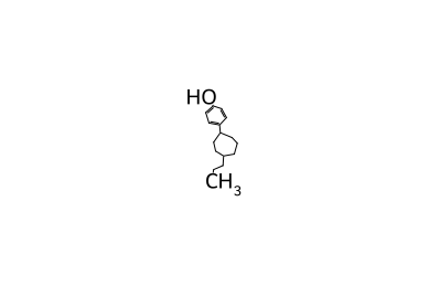 CCCC1CCCC(c2ccc(O)cc2)CC1